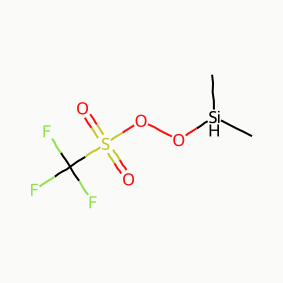 C[SiH](C)OOS(=O)(=O)C(F)(F)F